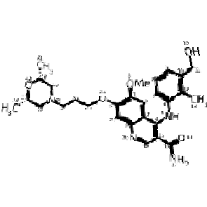 COc1cc2c(Nc3cccc(CO)c3C)c(C(N)=O)cnc2cc1OCCCN1C[C@@H](C)O[C@@H](C)C1